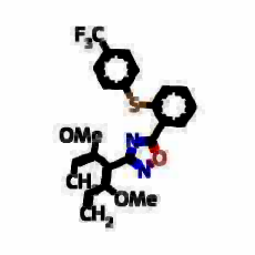 C=C/C(OC)=C(\C(=C/C)OC)c1noc(-c2ccccc2Sc2ccc(C(F)(F)F)cc2)n1